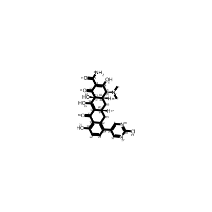 CN(C)[C@@H]1C(O)=C(C(N)=O)C(=O)[C@@]2(O)C(O)=C3C(=O)c4c(O)ccc(-c5cnc(Cl)nc5)c4C[C@H]3C[C@@H]12